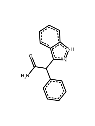 NC(=O)C(c1ccccc1)c1n[nH]c2ccccc12